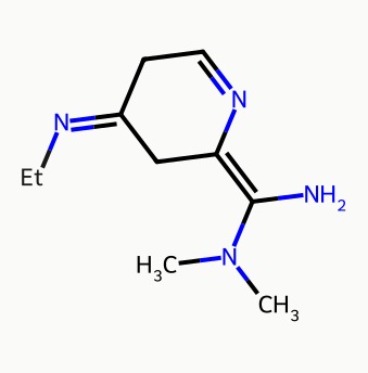 CC/N=C1/CC=N/C(=C(\N)N(C)C)C1